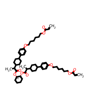 C=CC(=O)OCCCCCCOc1ccc(C2CCC(C(C)C(=O)O[C@@H]3CCCC[C@H]3OC(=O)C(C)C3CCC(c4ccc(OCCCCCCOC(=O)C=C)cc4)CC3)CC2)cc1